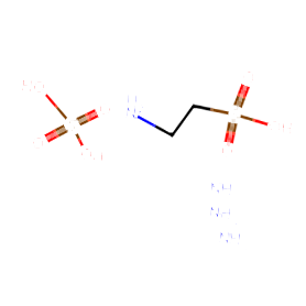 N.N.N.NCCS(=O)(=O)O.O=S(=O)(O)O